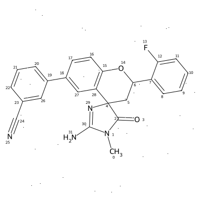 CN1C(=O)C2(CC(c3ccccc3F)Oc3ccc(-c4cccc(C#N)c4)cc32)N=C1N